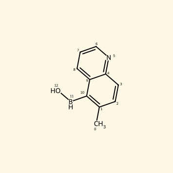 Cc1ccc2ncccc2c1BO